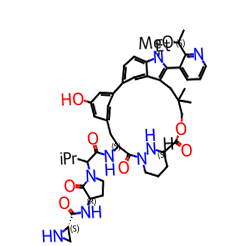 CCn1c(-c2cccnc2[C@H](C)OC)c2c3cc(ccc31)-c1cc(O)cc(c1)C[C@H](NC(=O)C(C(C)C)N1CC[C@@H](NC(=O)[C@@H]3CN3)C1=O)C(=O)N1CCC[C@H](N1)C(=O)OCC(C)(C)C2